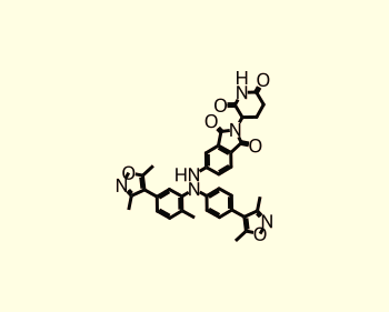 Cc1ccc(-c2c(C)noc2C)cc1N(Nc1ccc2c(c1)C(=O)N(C1CCC(=O)NC1=O)C2=O)c1ccc(-c2c(C)noc2C)cc1